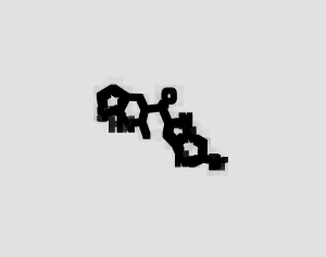 CC1Nc2sccc2CC1C(=O)c1cc2ncc(Br)cn2n1